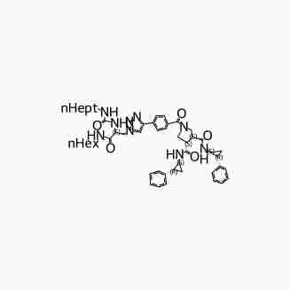 CCCCCCCNC(=O)N[C@@H](Cn1cc(-c2ccc(C(=O)N3C[C@@H](C(=O)N[C@H]4C[C@@H]4c4ccccc4)[C@H](C(=O)N[C@H]4C[C@@H]4c4ccccc4)C3)cc2)nn1)C(=O)NCCCCCC